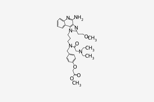 CCN(CC)CC(=O)N(CCCn1c(CCOC)nc2c(N)nc3ccccc3c21)Cc1ccc(OCC(=O)OC)cc1